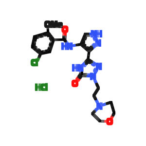 COc1ccc(Cl)cc1C(=O)Nc1c[nH]nc1-c1nn(CCN2CCOCC2)c(=O)[nH]1.Cl